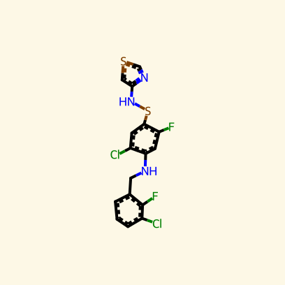 Fc1cc(NCc2cccc(Cl)c2F)c(Cl)cc1SNc1cscn1